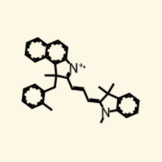 Cc1ccccc1CC1(C)C(/C=C/C=C2/N(C)c3ccccc3C2(C)C)=[N+](C)c2ccc3ccccc3c21